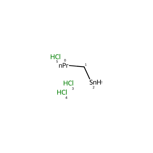 CCC[CH2][SnH].Cl.Cl.Cl